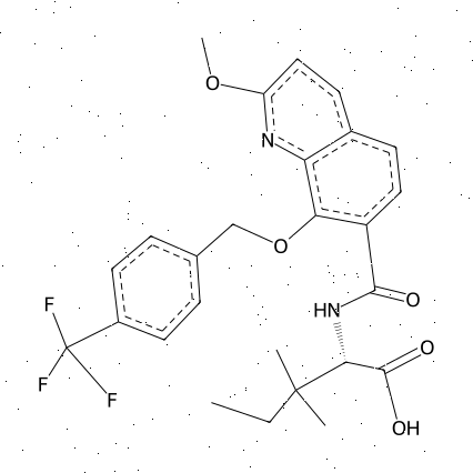 CCC(C)(C)[C@H](NC(=O)c1ccc2ccc(OC)nc2c1OCc1ccc(C(F)(F)F)cc1)C(=O)O